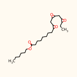 CCCCCCOC(=O)CCCCCCCC1OC1CC1OC1CC1OC1CC